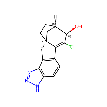 O[C@H]1C(Cl)=C2c3ccc4[nH]nnc4c3C[C@@]23CC[C@@H]1C3